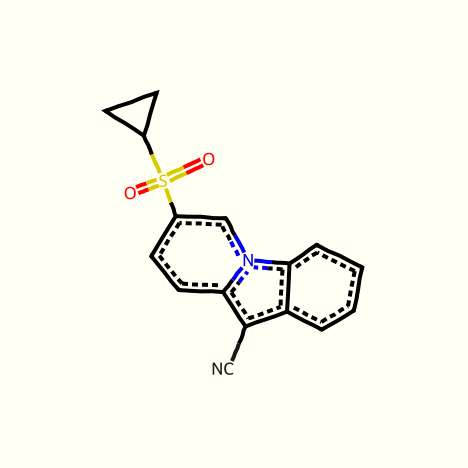 N#Cc1c2ccccc2n2cc(S(=O)(=O)C3CC3)ccc12